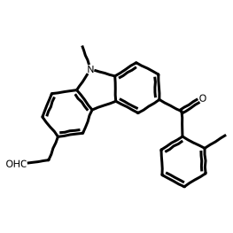 Cc1ccccc1C(=O)c1ccc2c(c1)c1cc(CC=O)ccc1n2C